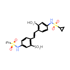 CC(C)S(=O)(=O)Nc1ccc(/C=C/c2ccc(NS(=O)(=O)C3CC3)cc2S(=O)(=O)O)c(S(=O)(=O)O)c1